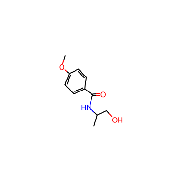 COc1ccc(C(=O)NC(C)CO)cc1